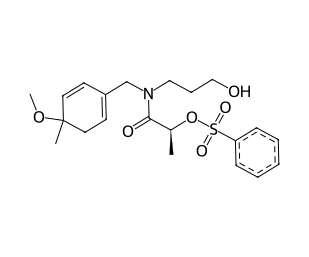 COC1(C)C=CC(CN(CCCO)C(=O)[C@H](C)OS(=O)(=O)c2ccccc2)=CC1